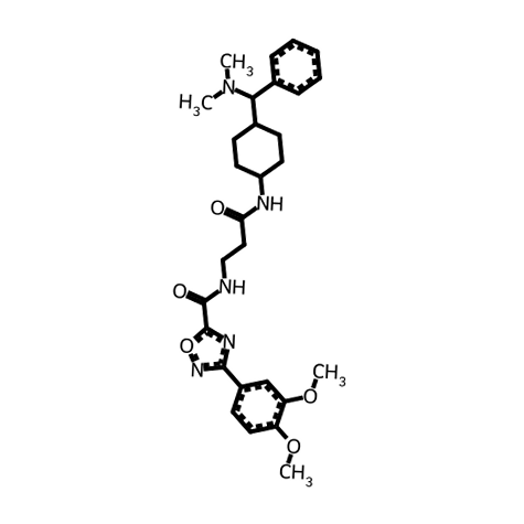 COc1ccc(-c2noc(C(=O)NCCC(=O)NC3CCC(C(c4ccccc4)N(C)C)CC3)n2)cc1OC